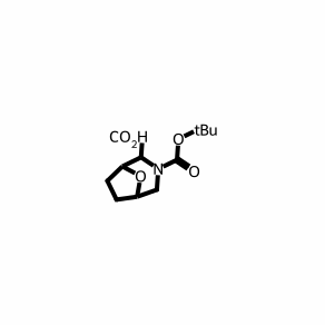 CC(C)(C)OC(=O)N1CC2CCC(O2)C1C(=O)O